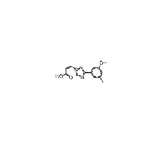 COc1cc(C)cc(-c2ncn(/C=C\C(=O)O)n2)c1